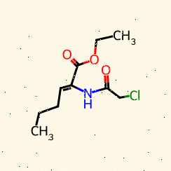 CCCC=C(NC(=O)CCl)C(=O)OCC